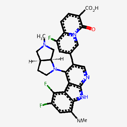 CNc1cc(F)c(F)c2c1[nH]c1ncc(-c3cc(F)c4ccc(C(=O)O)c(=O)n4c3)c(N3CC[C@H]4CN(C)C[C@H]43)c12